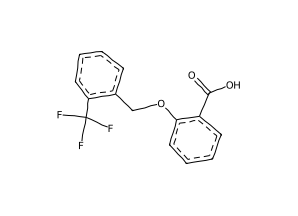 O=C(O)c1ccccc1OCc1ccccc1C(F)(F)F